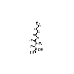 OC(O)C(F)C(F)C(F)CCCCCF